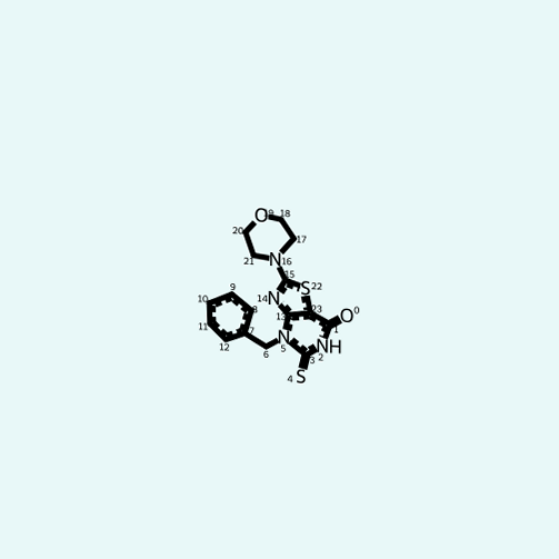 O=c1[nH]c(=S)n(Cc2ccccc2)c2nc(N3CCOCC3)sc12